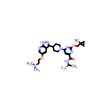 C[C@H](NC(=O)c1cc(N2CCC(c3n[nH]c4ncc(OCCN(C)C)cc34)CC2)nc(OCC2(C#N)CC2)n1)C(F)(F)F